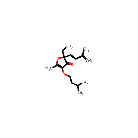 CCC1(CCC(C)C)OC(C)=C(OCCC(C)C)C1=O